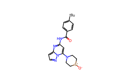 CC(C)(C)c1ccc(C(=O)Nc2cc(N3CC[S+]([O-])CC3)n3nccc3n2)cc1